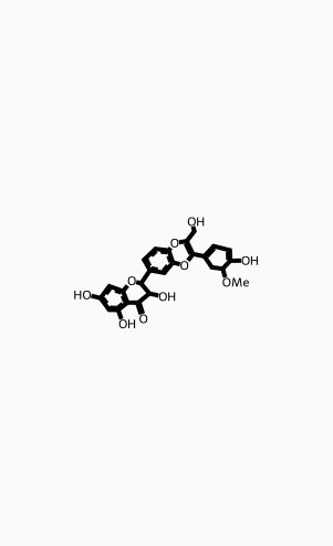 COC1CC(C2=C(CO)Oc3ccc(C4Oc5cc(O)cc(O)c5C(=O)C4O)cc3O2)=CC=C1O